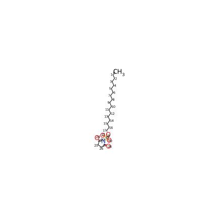 CCCCCCCCCCCCCCCCCCOS(=O)(=O)N1C(=O)CCC1=O